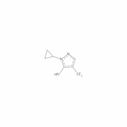 CCCc1c(C(F)(F)F)cnn1C1CC1